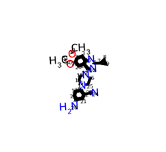 COc1cc2nc(C3CC3)nc(N3CCN(c4ccc(N)cc4C#N)CC3)c2cc1OC